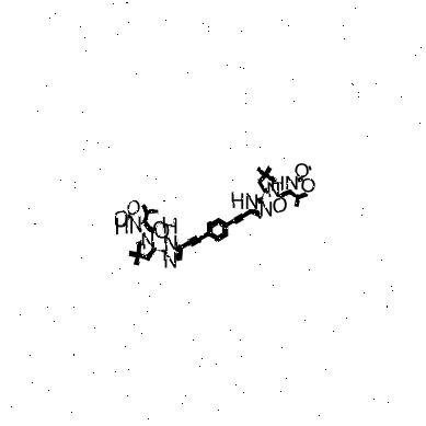 COC(=O)N[C@H](C(=O)N1CC(C)(C)C[C@H]1c1ncc(C#Cc2ccc(C#Cc3cnc([C@@H]4CC(C)(C)CN4C(=O)[C@@H](NC(=O)OC)C(C)C)[nH]3)cc2)[nH]1)C(C)C